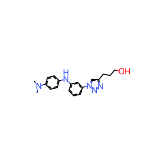 CN(C)c1ccc(Nc2cccc(-n3cc(CCCO)nn3)c2)cc1